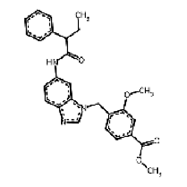 CCC(C(=O)Nc1ccc2ncn(Cc3ccc(C(=O)OC)cc3OC)c2c1)c1ccccc1